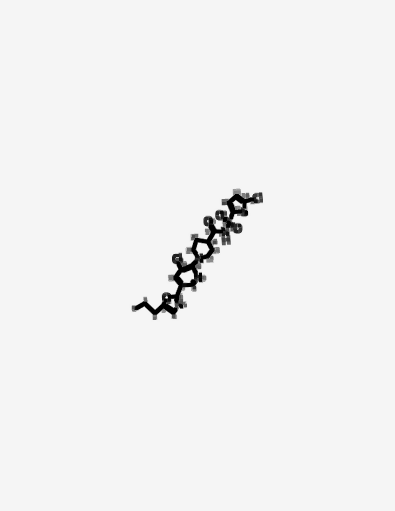 CCCc1cnc(-c2cnc(N3CCC(C(=O)NS(=O)(=O)c4ccc(Cl)s4)CC3)c(Cl)c2)o1